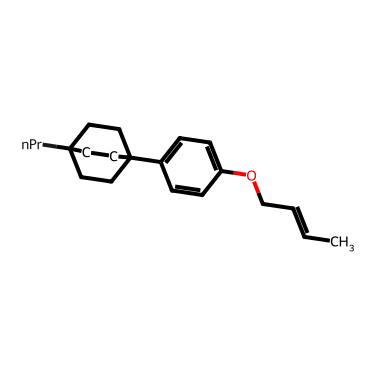 C/C=C/COc1ccc(C23CCC(CCC)(CC2)CC3)cc1